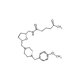 COc1ccc(CN2CCN(CC3CCC(CNC(=O)CCCC(C)=O)O3)CC2)cc1